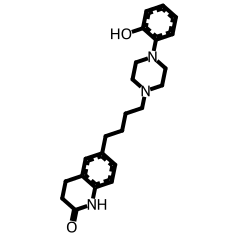 O=C1CCc2cc(CCCCN3CCN(c4ccccc4O)CC3)ccc2N1